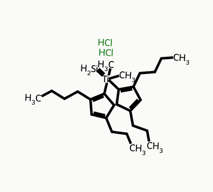 CCCCC1=[C]([Ti]([CH3])([CH3])(=[SiH2])[C]2=C(CCCC)C=C(CCC)C2)CC(CCC)=C1.Cl.Cl